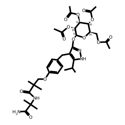 CC(=O)OC[C@H]1O[C@@H](Oc2n[nH]c(C(C)C)c2Cc2ccc(OCC(C)(C)C(=O)NC(C)(C)C(N)=O)cc2)[C@H](OC(C)=O)[C@@H](OC(C)=O)[C@@H]1OC(C)=O